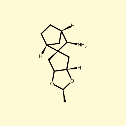 C[C@H]1OC2C[C@@]3(C[C@@H]2O1)[C@@H]1CC[C@@H](C1)[C@H]3N